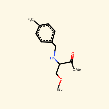 COC(=O)C(COC(C)(C)C)NCc1ccc(C(F)(F)F)cc1